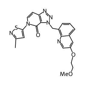 COCCOc1cnc2c(Cn3nnc4ccn(-c5cc(C)ns5)c(=O)c43)cccc2c1